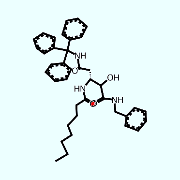 CCCCCCCC(=O)N[C@H](CC(=O)NC(c1ccccc1)(c1ccccc1)c1ccccc1)C(O)C(=O)NCc1ccccc1